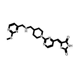 CSc1nccc(CNCC2CCN(c3nccc(/C=C4\SC(=O)NC4=O)n3)CC2)n1